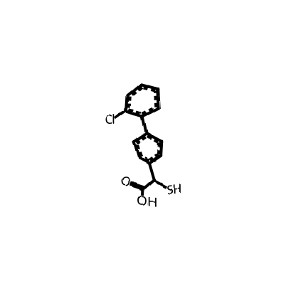 O=C(O)C(S)c1ccc(-c2ccccc2Cl)cc1